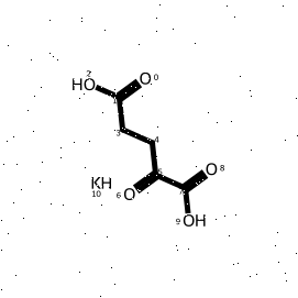 O=C(O)CCC(=O)C(=O)O.[KH]